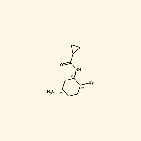 CC(C)[C@H]1CC[C@H](C)C[C@H]1NC(=O)C1CC1